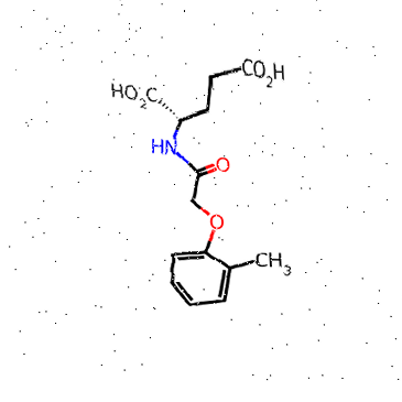 Cc1ccccc1OCC(=O)N[C@@H](CCC(=O)O)C(=O)O